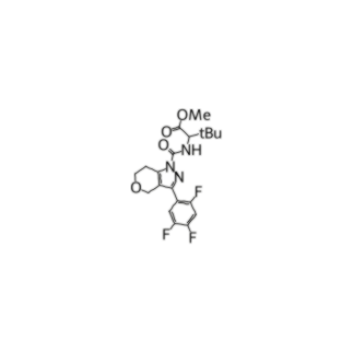 COC(=O)C(NC(=O)n1nc(-c2cc(F)c(F)cc2F)c2c1CCOC2)C(C)(C)C